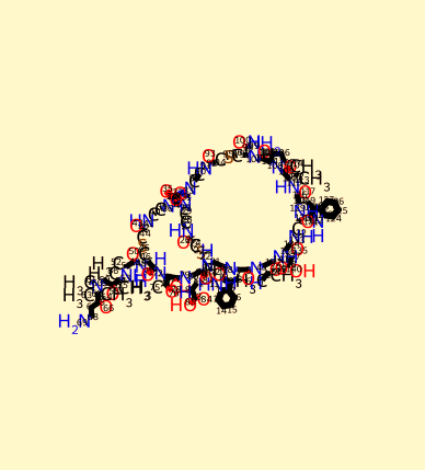 CC(C)[C@@H]1NC(=O)[C@H](Cc2c[nH]c3ccccc23)NC(=O)[C@@H]2CSCC(=O)NCCn3c(=O)n(c(=O)n(c3=O)CCNC(=O)CSC[C@H](NC(=O)[C@H](C)NC(C)(C)C(=O)CN(C)C(C)(C)C(=O)CCN)C(=O)N[C@@H]([C@@H](C)O)C(=O)N[C@@H](CCC(=O)O)C(=O)N2)CCNC(=O)CSC[C@@H](C(N)=O)NC(=O)[C@@H]2CCCN2C(=O)[C@H](C(C)C)NC(=O)[C@H](Cc2c[nH]c3ccccc23)NC(=O)CNC(=O)[C@H](CC(=O)O)NC1=O